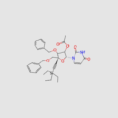 CC[Si](C#C[C@]1(COCc2ccccc2)O[C@@H](n2ccc(=O)[nH]c2=O)C(OC(C)=O)C1OCc1ccccc1)(CC)CC